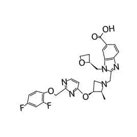 C[C@H]1[C@@H](Oc2ccnc(COc3ccc(F)cc3F)n2)CN1Cc1nc2ccc(C(=O)O)cc2n1C[C@@H]1CCO1